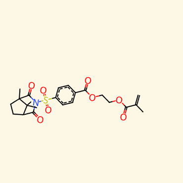 C=C(C)C(=O)OCCOC(=O)c1ccc(S(=O)(=O)N2C(=O)C3CCC(C)(C2=O)C3(C)C)cc1